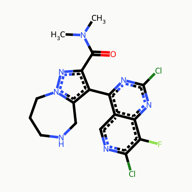 CN(C)C(=O)c1nn2c(c1-c1nc(Cl)nc3c(F)c(Cl)ncc13)CNCCC2